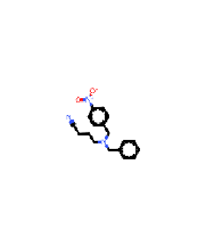 N#CCCCN(Cc1ccccc1)Cc1ccc([N+](=O)[O-])cc1